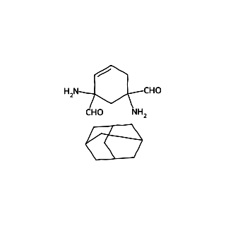 C1C2CC3CC1CC(C2)C3.NC1(C=O)C=CCC(N)(C=O)C1